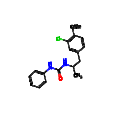 COc1ccc(CC(C)NC(=O)Nc2ccccc2)cc1Cl